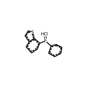 Cl.c1ccc(Pc2cccc3ccsc23)cc1